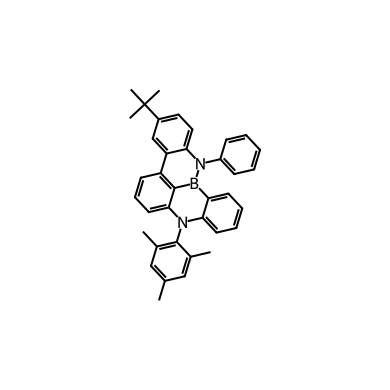 Cc1cc(C)c(N2c3ccccc3B3c4c(cccc42)-c2cc(C(C)(C)C)ccc2N3c2ccccc2)c(C)c1